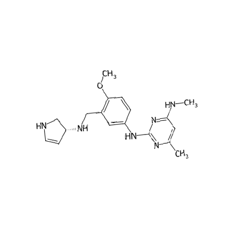 CNc1cc(C)nc(Nc2ccc(OC)c(CN[C@@H]3C=CNC3)c2)n1